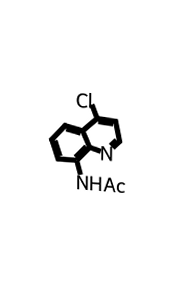 CC(=O)Nc1cccc2c(Cl)ccnc12